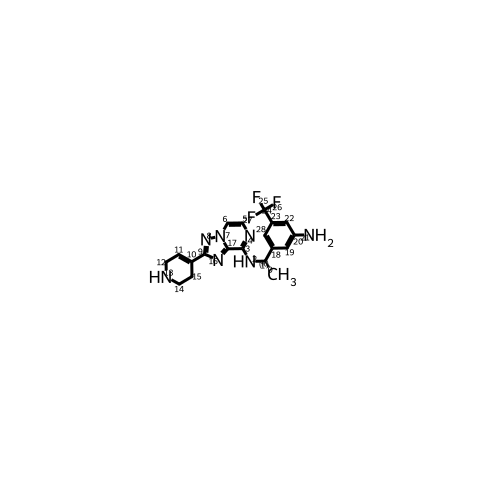 C[C@@H](Nc1nccn2nc(C3=CCNCC3)nc12)c1cc(N)cc(C(F)(F)F)c1